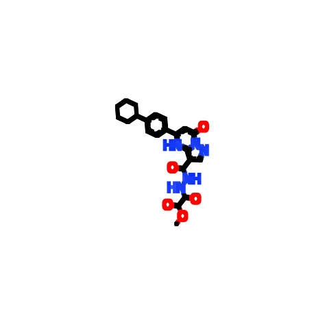 COC(=O)C(=O)NNC(=O)c1cnn2c(=O)cc(-c3ccc(C4CCCCC4)cc3)[nH]c12